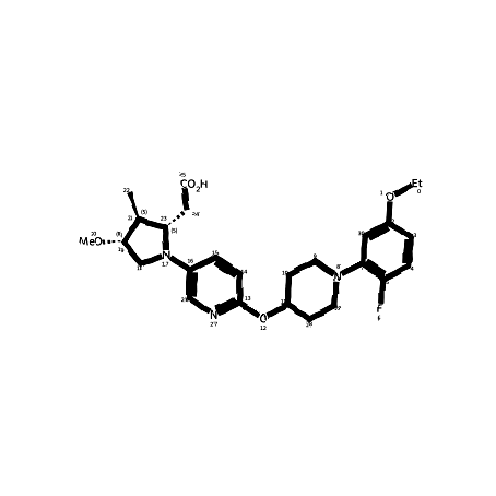 CCOc1ccc(F)c(N2CCC(Oc3ccc(N4C[C@H](OC)[C@@H](C)[C@@H]4CC(=O)O)cn3)CC2)c1